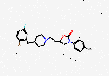 COc1ccc(N2CC(CCN3CCC(Cc4cc(F)ccc4Br)CC3)OC2=O)cc1